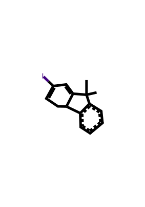 CC1(C)C2=CC(I)=CCC2c2ccccc21